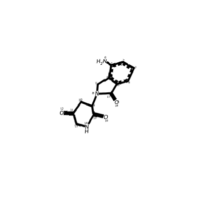 Nc1cccc2c1CN(C1CC(=O)CNC1=O)C2=O